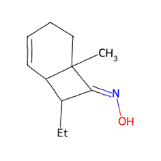 CCC1C(=NO)C2(C)CCC=CC12